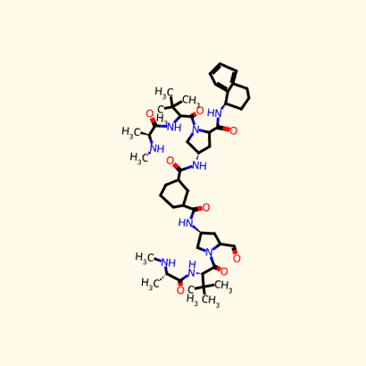 CN[C@@H](C)C(=O)NC(C(=O)N1C[C@@H](NC(=O)C2CCCC(C(=O)N[C@H]3CC(C=O)N(C(=O)[C@@H](NC(=O)[C@H](C)NC)C(C)(C)C)C3)C2)CC1C(=O)N[C@@H]1CCCc2ccccc21)C(C)(C)C